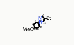 CCc1cnn(-c2ccc(OC)cc2)c1